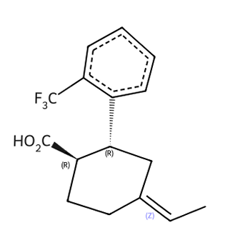 C/C=C1/CC[C@@H](C(=O)O)[C@H](c2ccccc2C(F)(F)F)C1